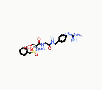 N=C(N)Nc1ccc(CNC(=O)CNC(=O)[C@@H](CO)NS(=O)(=O)Cc2ccccc2)cc1